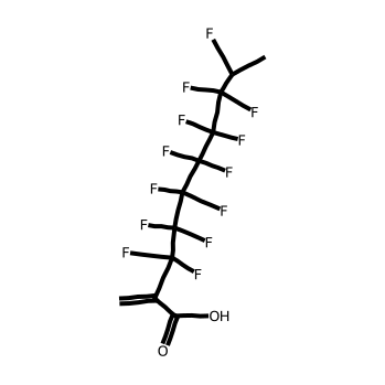 C=C(C(=O)O)C(F)(F)C(F)(F)C(F)(F)C(F)(F)C(F)(F)C(F)(F)C(C)F